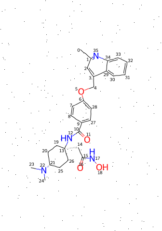 Cc1cc(COc2ccc(C(=O)N[C@]3(CC(=O)NO)CC[C@@H](N(C)C)CC3)cc2)c2ccccc2n1